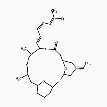 C/C=C1\CC2CC(=O)OC(/C=C/C=C\C=C(/C)CC)C(C)COC(C)CC3CCCC(CC(C1)O2)O3